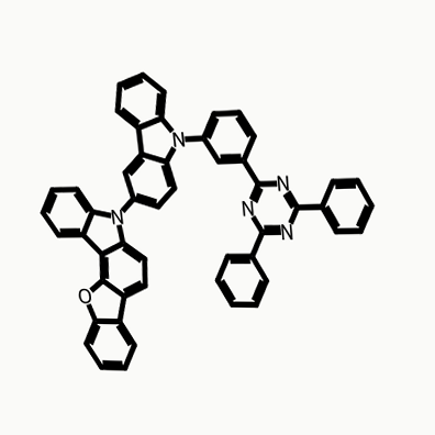 c1ccc(-c2nc(-c3ccccc3)nc(-c3cccc(-n4c5ccccc5c5cc(-n6c7ccccc7c7c8oc9ccccc9c8ccc76)ccc54)c3)n2)cc1